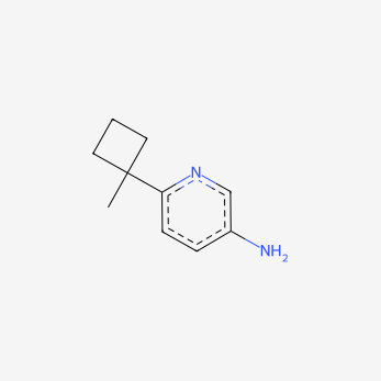 CC1(c2ccc(N)cn2)CCC1